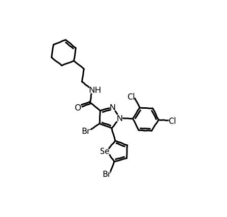 O=C(NCCC1C=CCCC1)c1nn(-c2ccc(Cl)cc2Cl)c(-c2ccc(Br)[se]2)c1Br